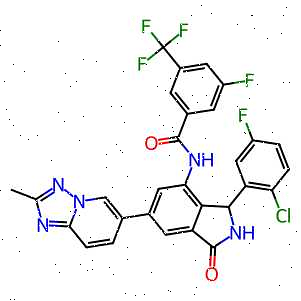 Cc1nc2ccc(-c3cc(NC(=O)c4cc(F)cc(C(F)(F)F)c4)c4c(c3)C(=O)NC4c3cc(F)ccc3Cl)cn2n1